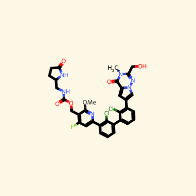 COc1nc(-c2cccc(-c3cccc(-c4cc5c(=O)n(C)c(CO)nn5c4)c3Cl)c2Cl)cc(F)c1COC(=O)NCC1CCC(=O)N1